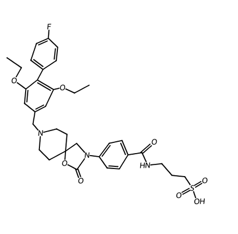 CCOc1cc(CN2CCC3(CC2)CN(c2ccc(C(=O)NCCCS(=O)(=O)O)cc2)C(=O)O3)cc(OCC)c1-c1ccc(F)cc1